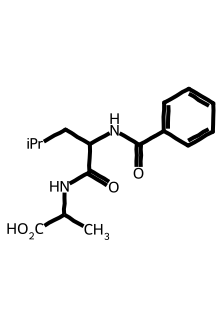 CC(C)CC(NC(=O)c1ccccc1)C(=O)NC(C)C(=O)O